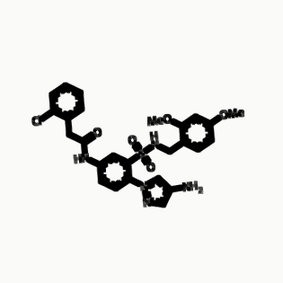 COc1ccc(CNS(=O)(=O)c2cc(NC(=O)Cc3ccccc3Cl)ccc2-n2cc(N)cn2)c(OC)c1